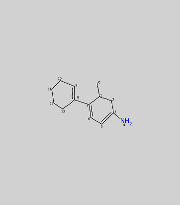 CC1CC(N)=CC=C1C1=CCCCC1